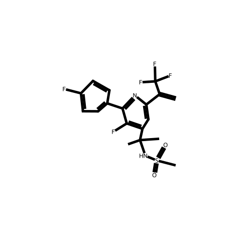 C=C(c1cc(C(C)(C)NS(C)(=O)=O)c(F)c(-c2ccc(F)cc2)n1)C(F)(F)F